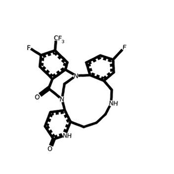 O=C1c2cc(F)c(C(F)(F)F)cc2N2CN1c1ccc(=O)[nH]c1CCCNCc1cc(F)ccc12